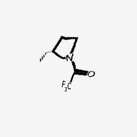 C[C@@H]1CCN1C(=O)C(F)(F)F